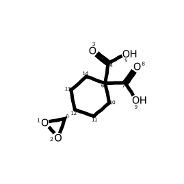 C1OO1.O=C(O)C1(C(=O)O)CCCCC1